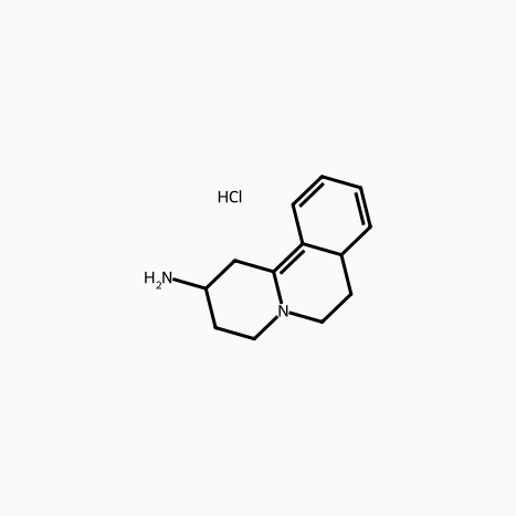 Cl.NC1CCN2CCC3C=CC=CC3=C2C1